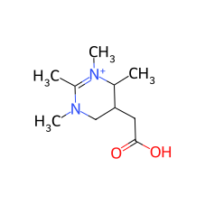 CC1=[N+](C)C(C)C(CC(=O)O)CN1C